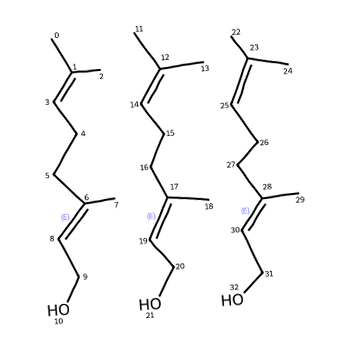 CC(C)=CCC/C(C)=C/CO.CC(C)=CCC/C(C)=C/CO.CC(C)=CCC/C(C)=C/CO